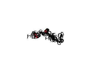 CC1(COC(=O)C2CCCCC2C(=O)OCCOS(=O)(=O)NS(=O)(=O)C(F)(F)C(F)CCOC(=O)C23CC4CC(C2)CC(C2CN(C(=O)COCCC(F)C(F)(F)S(=O)(=O)NS(=O)(=O)OC5CC6CC5C5CCCC65)CCO2)(C4)C3)COC1